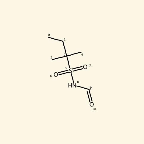 CCC(C)(C)S(=O)(=O)N[C]=O